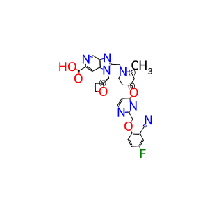 C[C@H]1C[C@@H](Oc2ccnc(COc3ccc(F)cc3C#N)n2)CCN1Cc1nc2cnc(C(=O)O)cc2n1C[C@@H]1CCO1